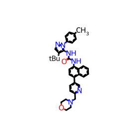 Cc1ccc(-n2ncc(C(C)(C)C)c2NC(=O)Nc2ccc(-c3ccc(CN4CCOCC4)nc3)c3ccccc23)cc1